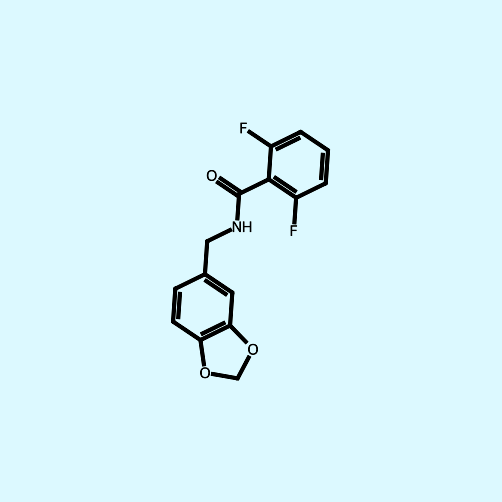 O=C(NCc1ccc2c(c1)OCO2)c1c(F)cccc1F